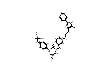 Cc1oc(-c2ccccc2)nc1CCOc1cccc(CN(CC(=O)O)C(=O)Oc2ccc(OC(F)(F)F)cc2)c1